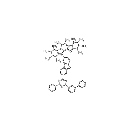 Bc1c(B)c(B)c2c(oc3c2c(B)c(B)c2c4c(B)c(B)c(B)c(B)c4n(-c4ccc5oc6cc(-c7nc(-c8ccccc8)nc(-c8cccc(-c9ccccc9)c8)n7)ccc6c5c4)c32)c1B